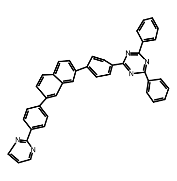 c1ccc(-c2nc(-c3ccccc3)nc(-c3ccc(-c4ccc5ccc(-c6ccc(-c7ncccn7)cc6)cc5c4)cc3)n2)cc1